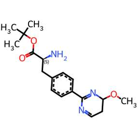 COC1CC=NC(c2ccc(C[C@H](N)C(=O)OC(C)(C)C)cc2)=N1